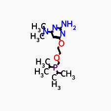 CC(C)P(COCCOc1cc(N(C)C)nc(N)n1)C(C)C